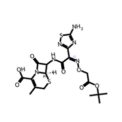 CC1=C(C(=O)O)N2C(=O)C(NC(=O)/C(=N\OCC(=O)OC(C)(C)C)c3nsc(N)n3)[C@H]2SC1